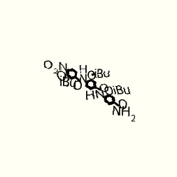 CCC(C)Oc1cc(C(=O)Nc2ccc(C(N)=O)cc2OCC(C)C)ccc1NC(=O)c1ccc([N+](=O)[O-])c(OC(C)CC)c1